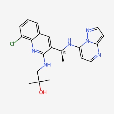 C[C@H](Nc1ccnc2ccnn12)c1cc2cccc(Cl)c2nc1NCC(C)(C)O